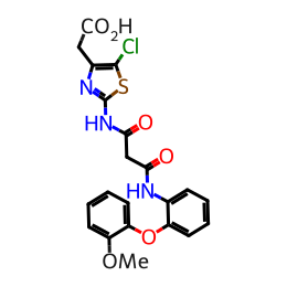 COc1ccccc1Oc1ccccc1NC(=O)CC(=O)Nc1nc(CC(=O)O)c(Cl)s1